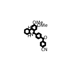 COc1cc2c(cc1OC)[C@H]1CCCC[C@H]1N=C2c1ccc(C(=O)c2ccc(C#N)cc2)cc1